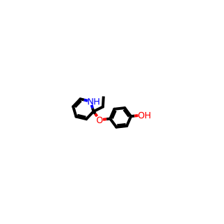 CCC1(Oc2ccc(O)cc2)C=CC=CN1